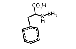 BNC(Cc1ccccc1)C(=O)O